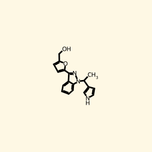 CC(c1cc[nH]c1)n1nc(-c2ccc(CO)o2)c2ccccc21